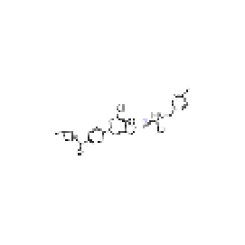 Cc1ccc(CNC(=O)/C=C/C2Cc3cc(-c4ccc(C(=O)N5CC(C)(C)C5)cc4)cc(Cl)c3O2)cn1